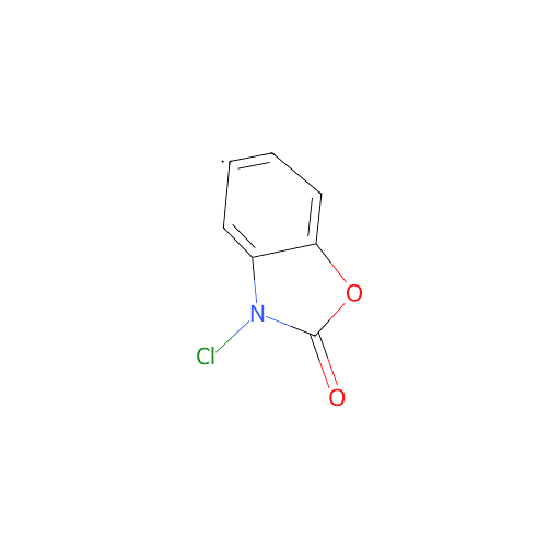 O=c1oc2cc[c]cc2n1Cl